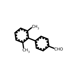 Cc1cccc(C)c1-c1ccc(C=O)cc1